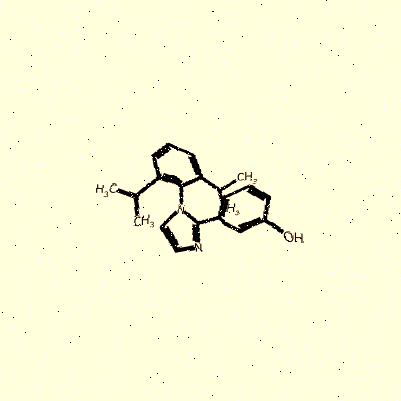 CC(C)c1cccc(C(C)C)c1-n1ccnc1-c1cccc(O)c1